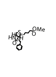 COC(=O)CCCC[C@H]1SC[C@@H]2NC(=O)N(Cc3ccccc3)[C@@H]21